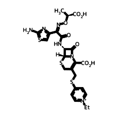 CC[n+]1ccc(SCC2=C(C(=O)O)N3C(=O)[C@@H](NC(=O)/C(=N\O[C@@H](C)C(=O)O)c4csc(N)n4)[C@H]3SC2)cc1